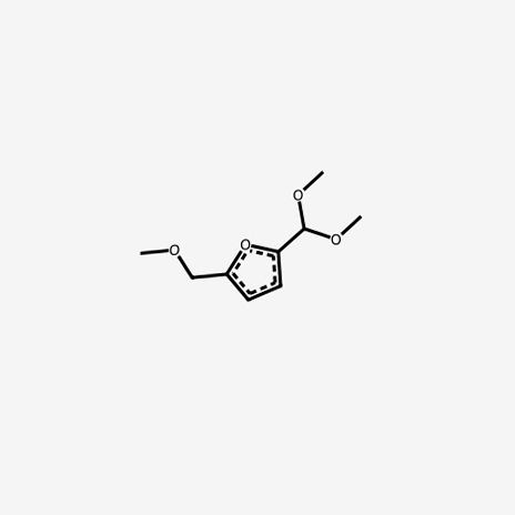 COCc1ccc(C(OC)OC)o1